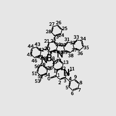 C=C1C=C(c2ccccc2)N(C)c2cc3c(cc21)B1c2c(cc(-c4ccccc4)c4c5cc6ccccc6cc5n-3c24)-c2ccccc2N1c1ccc(C)cc1